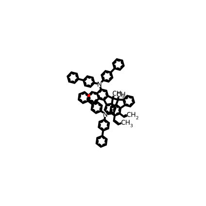 C=Cc1c(/C=C\C)c(N(c2ccc(-c3ccccc3)cc2)c2ccc(-c3ccccc3)cc2)cc2c1-c1ccccc1C2(C)C1(C)c2ccccc2-c2c1cc(N(c1ccc(-c3ccccc3)cc1)c1ccc(-c3ccccc3)cc1)c1ccccc21